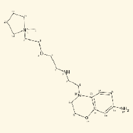 C[N+]1(CCOCCNCCN2CCOc3cc(N)ccc32)CCCC1